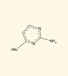 CCCCc1ccnc(N)n1